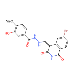 COc1ccc(C(=O)NNC=C2C(=O)NC(=O)c3ccc(Br)cc32)cc1O